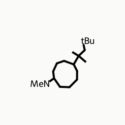 CNC1CCCCC(C(C)(C)CC(C)(C)C)CCC1